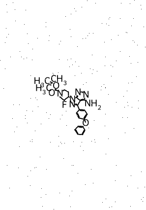 CC(C)(C)OC(=O)N1CC[C@@H](n2nc(-c3ccc(Oc4ccccc4)cc3)c3c(N)ncnc32)[C@H](F)C1